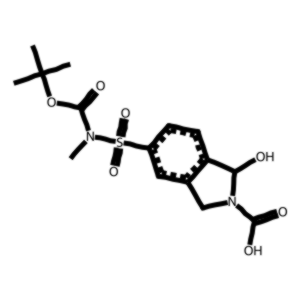 CN(C(=O)OC(C)(C)C)S(=O)(=O)c1ccc2c(c1)CN(C(=O)O)C2O